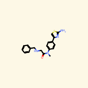 CN(C(=O)CNCc1ccccc1)c1ccc(-c2csc(N)n2)cc1